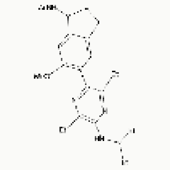 CCc1nc(-c2cc3c(cc2OC)C(NC(C)=O)CC3)c(CC)nc1NC(CC)CC